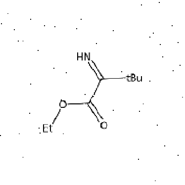 CCOC(=O)C(=N)C(C)(C)C